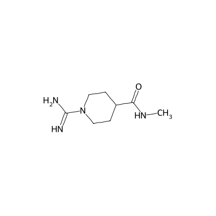 CNC(=O)C1CCN(C(=N)N)CC1